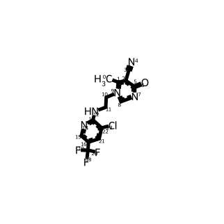 Cc1c(C#N)c(=O)ncn1CCNc1ncc(C(F)(F)F)cc1Cl